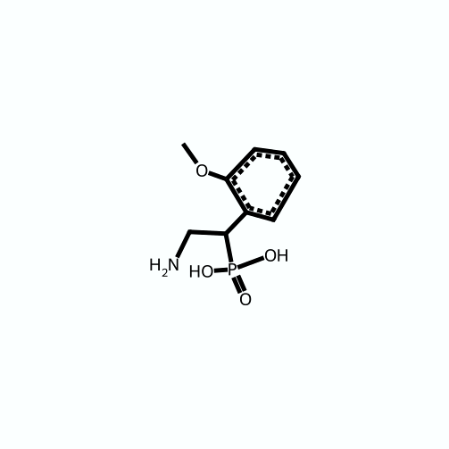 COc1ccccc1C(CN)P(=O)(O)O